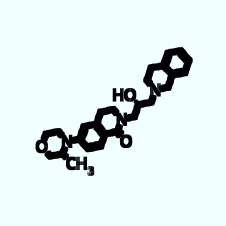 CC1COCCN1c1ccc2c(c1)CCN(C[C@H](O)CN1CCc3ccccc3C1)C2=O